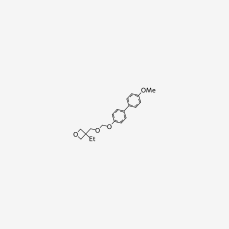 CCC1(COCOc2ccc(-c3ccc(OC)cc3)cc2)COC1